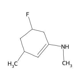 CNC1=CC(C)CC(F)C1